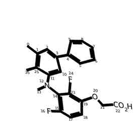 Cc1cc(-c2ccccc2)cc(N(C)c2c(F)ccc(OCC(=O)O)c2F)c1C